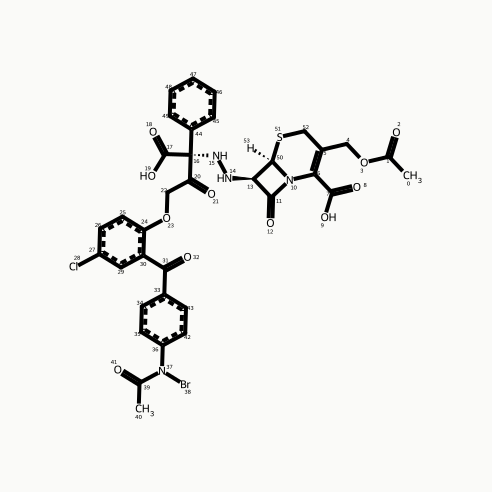 CC(=O)OCC1=C(C(=O)O)N2C(=O)[C@@H](NN[C@@](C(=O)O)(C(=O)COc3ccc(Cl)cc3C(=O)c3ccc(N(Br)C(C)=O)cc3)c3ccccc3)[C@H]2SC1